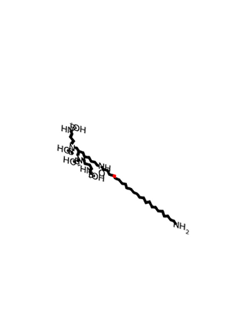 CB(O)NCCCCN(CC(CCCCCCNC(=O)CCCCCCCCCCCCCCCCCCCCCCCN)CN(CCCCNB(C)O)B(C)O)B(C)O